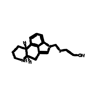 OCCSCn1cc2c3c(cccc31)[C@H]1CCCN[C@@H]1C2